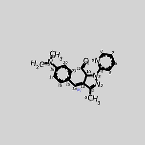 CC1=NN(c2ccccn2)C(C=O)/C1=C\c1ccc(N(C)C)cc1